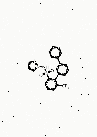 O=S(=O)(Nn1cccn1)c1cccc(C(F)(F)F)c1-c1cccc(-c2ccccc2)c1